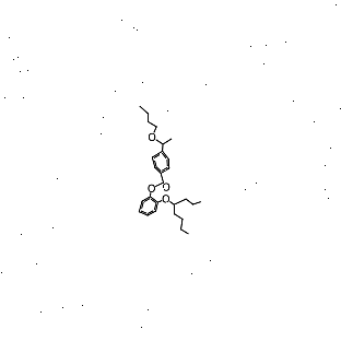 CCCCOC(C)c1ccc(C(=O)Oc2ccccc2OC(CCC)CCCC)cc1